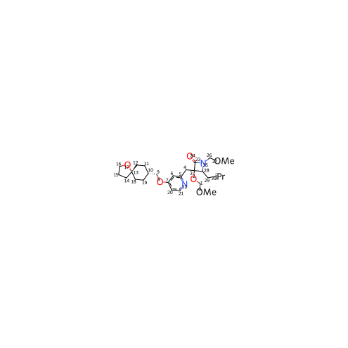 COCOC1(Cc2cc(OC[C@H]3CC[C@]4(CCCO4)CC3)ccn2)C(=O)N(COC)C1CC(C)C